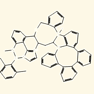 Cc1cccc(C)c1B1N(C)c2cccc3c2-c2n1cc[n+]2C1CC2n4c5ccccc5c5ccccc5c5ccccc5c5cccc(c54)[N+]2(I)c2ccccc2CCC31